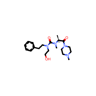 C[C@@H](C(=O)N1CCN(C)CC1)N(C)C(=O)N(CCO)CCc1ccccc1